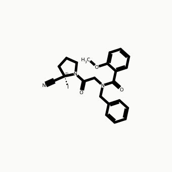 COc1ccccc1C(=O)N(CC(=O)N1CCC[C@]1(I)C#N)Cc1ccccc1